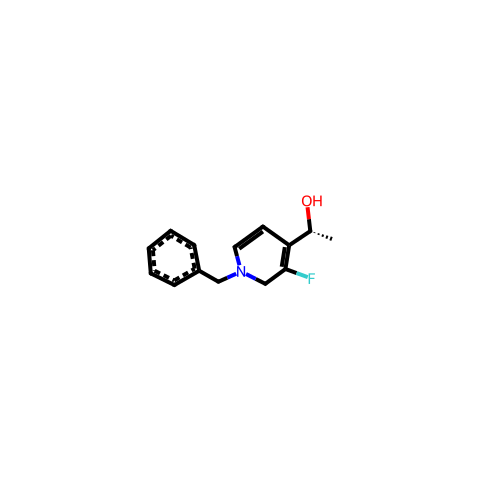 C[C@@H](O)C1=C(F)CN(Cc2ccccc2)C=C1